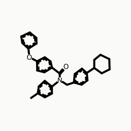 Cc1ccc(N(Cc2ccc(C3CCCCC3)cc2)C(=O)c2ccc(Oc3ccccc3)cc2)cc1